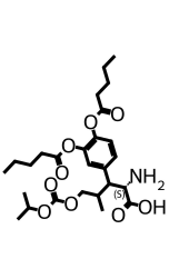 CCCCC(=O)Oc1ccc(C(C(C)COC(=O)OC(C)C)[C@H](N)C(=O)O)cc1OC(=O)CCCC